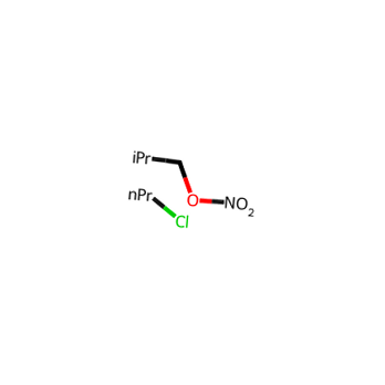 CC(C)CO[N+](=O)[O-].CCCCl